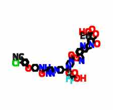 CC[C@@]1(O)C(=O)OCc2c1cc1n(c2=O)Cc2cc3c(CN(C)C)c(OC(=O)N4CCN(C(=O)C5CCN(c6ccc(C(=O)NC7CCC(Oc8ccc(C#N)c(Cl)c8)CC7)nn6)CC5)CC4)ccc3nc2-1.O=C(O)C(F)(F)F